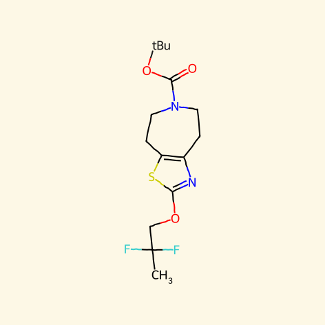 CC(F)(F)COc1nc2c(s1)CCN(C(=O)OC(C)(C)C)CC2